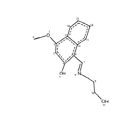 COc1cc(O)c(/C=N/CCO)c2ccccc12